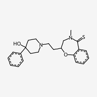 CN1CC(CCN2CCC(O)(c3ccccc3)CC2)Oc2ccccc2C1=S